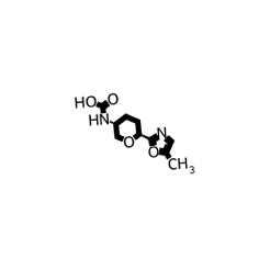 Cc1cnc([C@@H]2CC[C@@H](NC(=O)O)CO2)o1